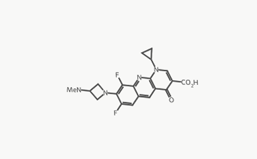 CNC1CN(c2c(F)cc3cc4c(=O)c(C(=O)O)cn(C5CC5)c4nc3c2F)C1